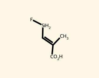 CC(=C[SiH2]F)C(=O)O